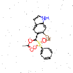 CC(=O)OC(c1cc2cc[nH]c2cc1Br)S(=O)(=O)c1ccccc1